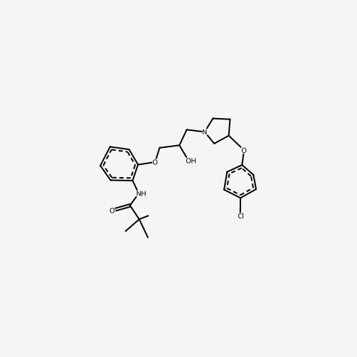 CC(C)(C)C(=O)Nc1ccccc1OCC(O)CN1CCC(Oc2ccc(Cl)cc2)C1